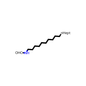 CCCCCCCCCCCCCCCCCNC=O